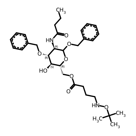 CCCC(=O)N[C@H]1C(OCc2ccccc2)O[C@H](COC(=O)CCCNOC(C)(C)C)[C@@H](O)[C@@H]1OCc1ccccc1